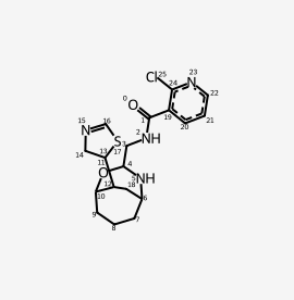 O=C(NCC1NC2CCCC(O1)C(C1CN=CS1)C2)c1cccnc1Cl